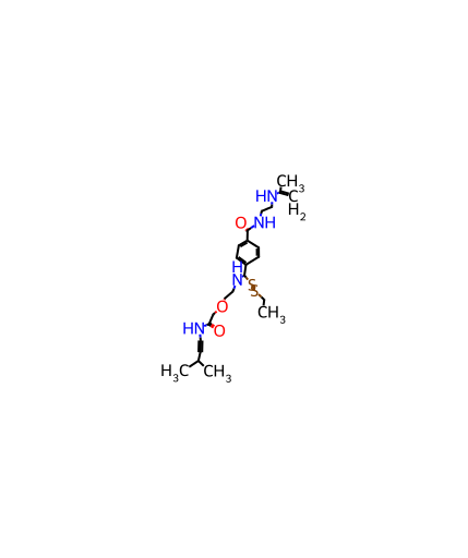 C=C(C)NCCNC(=O)c1ccc(C(NCCOCC(=O)NC#CC(C)C)SSCC)cc1